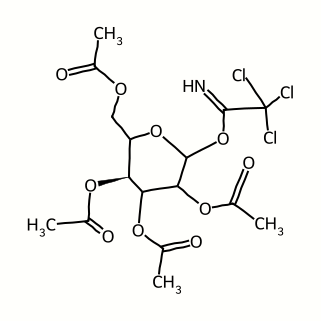 CC(=O)OCC1OC(OC(=N)C(Cl)(Cl)Cl)C(OC(C)=O)C(OC(C)=O)[C@H]1OC(C)=O